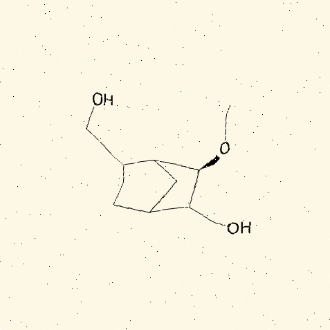 CO[C@H]1C(O)C2CC(CO)C1C2